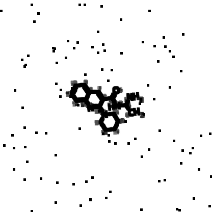 CC(N)NC(=O)c1cc2ccccc2nc1N1CCCCC1